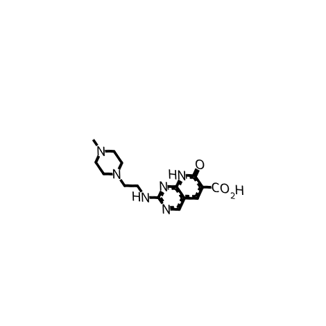 CN1CCN(CCNc2ncc3cc(C(=O)O)c(=O)[nH]c3n2)CC1